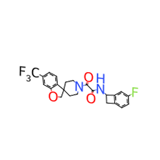 O=C(NC1Cc2ccc(F)cc21)C(=O)N1CCC2(CC1)COc1cc(C(F)(F)F)ccc12